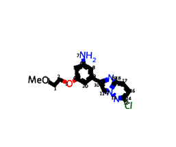 COCCOc1cc(N)cc(-c2cn3nc(Cl)ccc3n2)c1